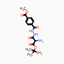 COC(=O)c1ccc(C(=O)NNC(=O)C(N)C(=O)OC(C)(C)C)cc1